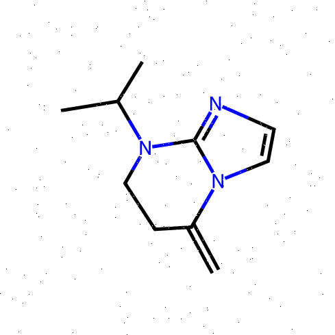 C=C1CCN(C(C)C)c2nccn21